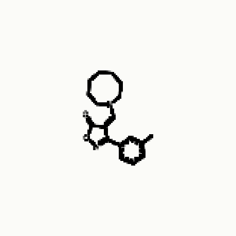 Cc1cccc(C2=NOC(=O)C2=CN2CCCCCCC2)c1